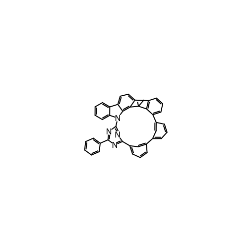 CC1(C)c2c3cccc2-c2ccc4c5ccccc5n(c4c21)-c1nc(-c2ccccc2)nc(n1)-c1cccc(c1)-c1cccc-3c1